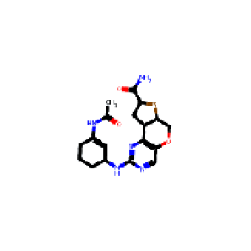 CC(=O)NC1=CC(Nc2ncc3c(n2)C2CC(C(N)=O)SC2CO3)CCC1